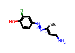 CCCCC(=C\CN)/N=N/c1ccc(O)c(Cl)c1